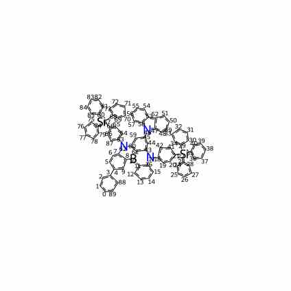 c1ccc(-c2ccc3c(c2)B2c4ccccc4N(c4ccc([Si](c5ccccc5)(c5ccccc5)c5ccccc5)cc4)c4cc(-n5c6ccccc6c6ccccc65)cc(c42)N3c2ccc([Si](c3ccccc3)(c3ccccc3)c3ccccc3)cc2)cc1